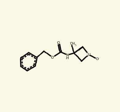 CC1(NC(=O)OCc2ccccc2)C[S+]([O-])C1